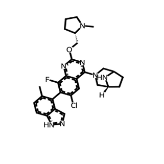 Cc1ccc2[nH]ncc2c1-c1c(Cl)cc2c(N3CC4CC[C@H](C3)N4)nc(OC[C@@H]3CCCN3C)nc2c1F